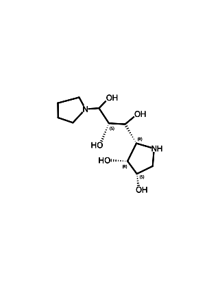 OC([C@H](O)C(O)N1CCCC1)[C@@H]1NC[C@H](O)[C@@H]1O